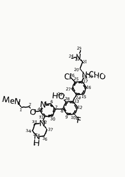 CNCCOc1ncc(-c2cc(F)cc(-c3ccc(N(C=O)CCN(C)C)c(Cl)c3)c2O)cc1N1CCNCC1